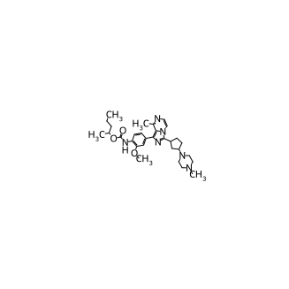 CCCC(C)OC(=O)Nc1ccc(-c2nc(C3CCC(N4CCN(C)CC4)C3)n3ccnc(C)c23)cc1OC